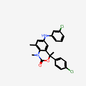 Cc1cc(Nc2cccc(Cl)c2)cc2c1N(C)C(=O)OC2(C)c1ccc(Cl)cc1